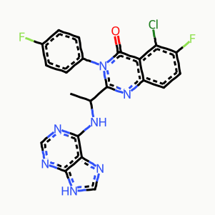 CC(Nc1ncnc2[nH]cnc12)c1nc2ccc(F)c(Cl)c2c(=O)n1-c1ccc(F)cc1